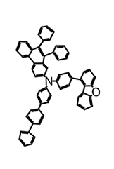 c1ccc(-c2ccc(-c3ccc(N(c4ccc(-c5cccc6oc7ccccc7c56)cc4)c4ccc5c(c4)c(-c4ccccc4)c(-c4ccccc4)c4ccccc45)cc3)cc2)cc1